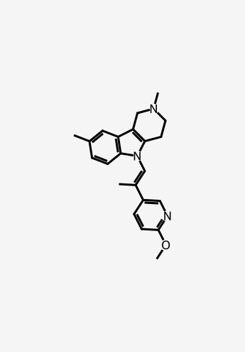 COc1ccc(/C(C)=C/n2c3c(c4cc(C)ccc42)CN(C)CC3)cn1